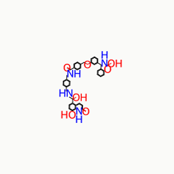 O=C(O)NC(c1ccccc1)c1cccc(OCc2ccc(C(=O)NCc3ccc(CNCC(O)c4ccc(O)c5[nH]c(=O)ccc45)cc3)cc2)c1